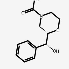 O=C(O)N1CCO[C@H]([C@H](O)c2ccccc2)C1